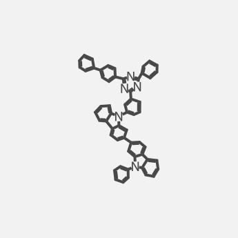 c1ccc(-c2ccc(-c3nc(-c4ccccc4)nc(-c4cccc(-n5c6ccccc6c6ccc(-c7ccc8c9ccccc9n(-c9ccccc9)c8c7)cc65)c4)n3)cc2)cc1